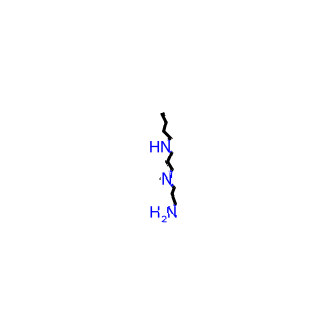 CCCCNCCC[N]CCCN